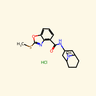 CSc1nc2c(C(=O)NC3CC4CCCC(C3)N4C)cccc2o1.Cl